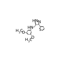 COc1cc(NCc2c[nH]nc2-c2cccs2)cc(OC)c1